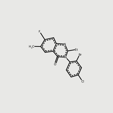 CCc1nc2cc(F)c(C)cc2c(=O)n1-c1ccc(Cl)cc1Br